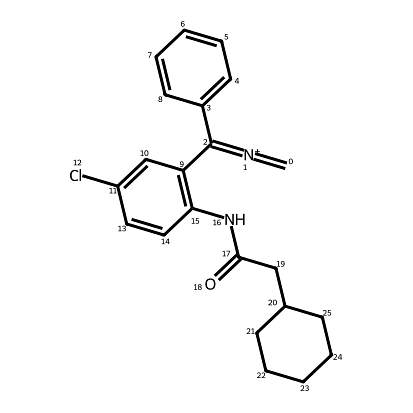 C=[N+]=C(c1ccccc1)c1cc(Cl)ccc1NC(=O)CC1CCCCC1